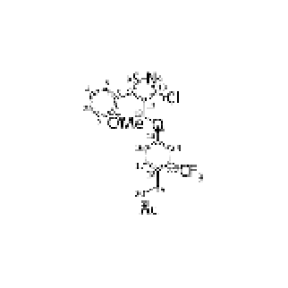 COc1ccccc1-c1snc(Cl)c1COc1ccc(CCC(C)=O)c(C(F)(F)F)c1